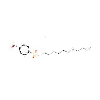 CCCCCCCCCCCOS(=O)(=O)c1ccc(C(=O)[O-])cc1.[Na+]